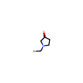 CC(C)CN1CCC(=O)C1